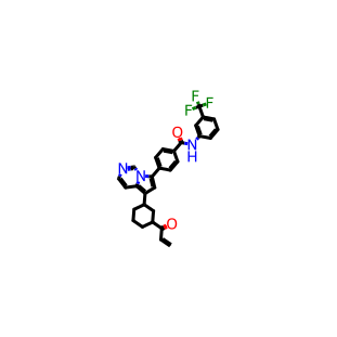 C=CC(=O)C1CCCC(c2cc(-c3ccc(C(=O)Nc4cccc(C(F)(F)F)c4)cc3)n3cnccc23)C1